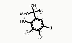 CC[C@](C)(OC)c1cc(Cl)c(Br)c(O)c1O